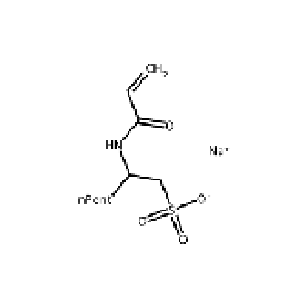 C=CC(=O)NC(CCCCC)CS(=O)(=O)[O-].[Na+]